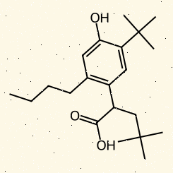 CCCCc1cc(O)c(C(C)(C)C)cc1C(CC(C)(C)C)C(=O)O